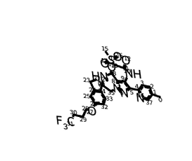 Cc1ccc(-c2nn3c(c2NC(=O)CS(C)(=O)=O)C(=O)N[C@@]2(CCc4cc(OCCCC(F)(F)F)ccc42)C3)nc1